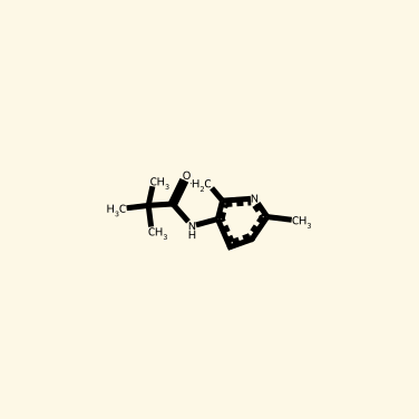 [CH2]c1nc(C)ccc1NC(=O)C(C)(C)C